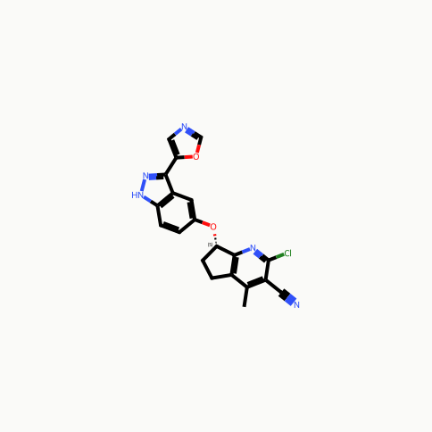 Cc1c(C#N)c(Cl)nc2c1CC[C@@H]2Oc1ccc2[nH]nc(-c3cnco3)c2c1